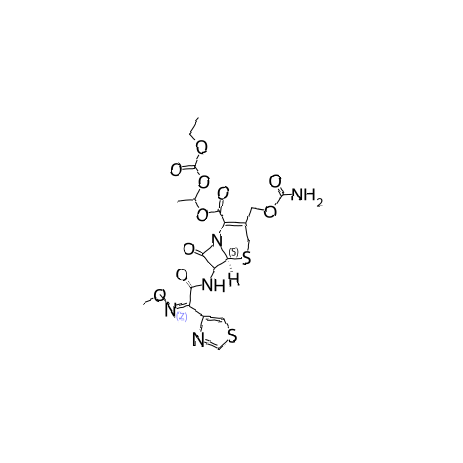 CCOC(=O)OC(C)OC(=O)C1=C(COC(N)=O)CS[C@H]2C(NC(=O)/C(=N\OC)c3cscn3)C(=O)N12